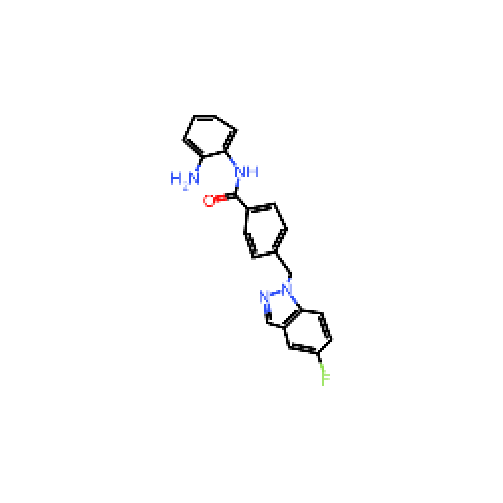 Nc1ccccc1NC(=O)c1ccc(Cn2ncc3cc(F)ccc32)cc1